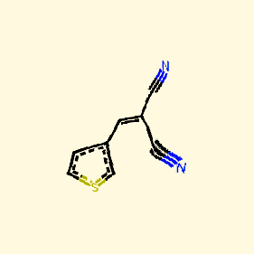 N#CC(C#N)=Cc1ccsc1